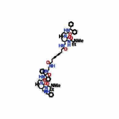 CC[C@H](NC)C(=O)N[C@@H]1C(=O)N2[C@@H](CC[C@@H]1CNC(=O)CCC#CC#CCCC(=O)NCCNC(=O)C(NC(=O)[C@@H]1CC[C@@H]3CC[C@H](CNCc4ccccc4)[C@H](NC(=O)[C@H](CC)NC)C(=O)N31)(c1ccccc1)c1ccccc1)CC[C@H]2C(=O)NC(c1ccccc1)c1ccccc1